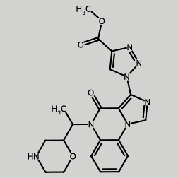 COC(=O)c1cn(-c2ncn3c2c(=O)n(C(C)C2CNCCO2)c2ccccc23)nn1